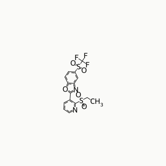 CCS(=O)(=O)c1ncccc1-c1nc2cc(S(=O)(=O)C(F)(F)F)ccc2o1